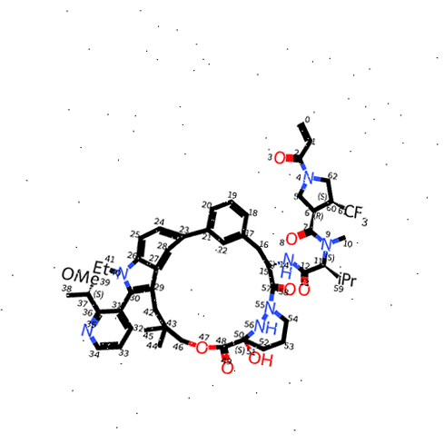 C=CC(=O)N1C[C@H](C(=O)N(C)[C@H](C(=O)N[C@H]2Cc3cccc(c3)-c3ccc4c(c3)c(c(-c3cccnc3[C@H](C)OC)n4CC)CC(C)(C)COC(=O)[C@@]3(O)CCCN(N3)C2=O)C(C)C)[C@H](C(F)(F)F)C1